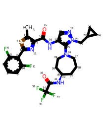 Cc1sc(-c2c(F)cccc2F)nc1C(=O)Nc1cnn(CC2CC2)c1N1CCC[C@@H](NC(=O)C(F)(F)F)CC1